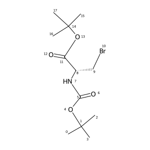 CC(C)(C)OC(=O)N[C@@H](CBr)C(=O)OC(C)(C)C